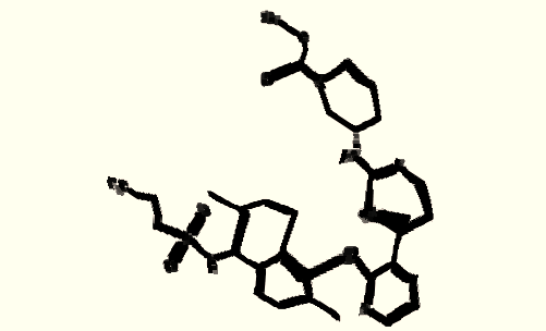 Cc1ccc2c(Oc3ncccc3-c3ccnc(N[C@H]4CCCN(C(=O)OC(C)(C)C)C4)n3)c(C)ccc2c1NS(=O)(=O)CCC(F)(F)F